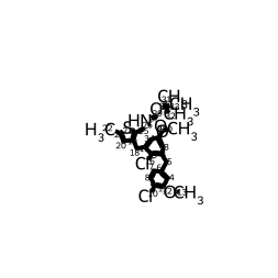 COc1cc(Cc2ccc(Cl)c(OC)c2)c(Cl)c(Cc2cc(C)sc2CNC(=O)OC(C)(C)C)c1